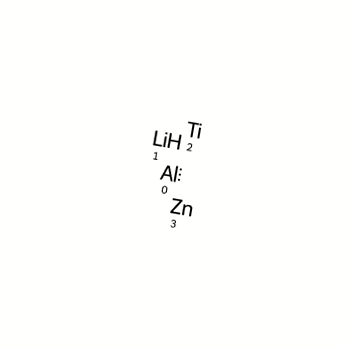 [Al].[LiH].[Ti].[Zn]